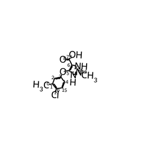 Cc1cc(OC2=C(C(=O)O)NN(C)N2)ccc1Cl